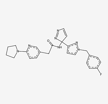 O=C(Cc1ccc(N2CCCC2)nc1)NC1(c2ccn(Cc3ccc(F)cc3)n2)C=CN=N1